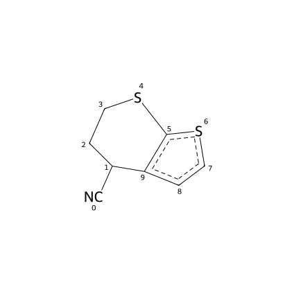 N#CC1CCSc2sccc21